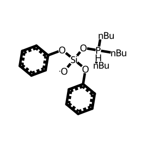 CCCC[PH](CCCC)(CCCC)O[Si]([O])(Oc1ccccc1)Oc1ccccc1